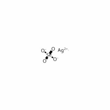 O=[Se](=O)([O-])[O-].[Ag+2]